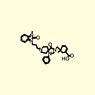 Cn1c(=O)n(CCCN2CCC3(CC2)C(=O)N(CC2(C)C=CC=C(C(=O)O)C2)CN3c2ccccc2)c2ccccc21